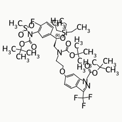 CC[Si](CC)(CC)O[C@@H](CN(CCOc1ccc2c(C(F)(F)F)nn(C(=O)OC(C)(C)C)c2c1)C(=O)OC(C)(C)C)c1ccc(F)c(N(C(=O)OC(C)(C)C)S(C)(=O)=O)c1